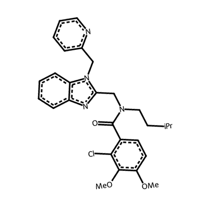 COc1ccc(C(=O)N(CCC(C)C)Cc2nc3ccccc3n2Cc2ccccn2)c(Cl)c1OC